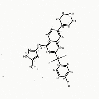 Cc1cc(Nc2nc(C(F)(F)c3ccc(F)cc3)nc3cc(C4=CCOCC4)ccc23)n[nH]1